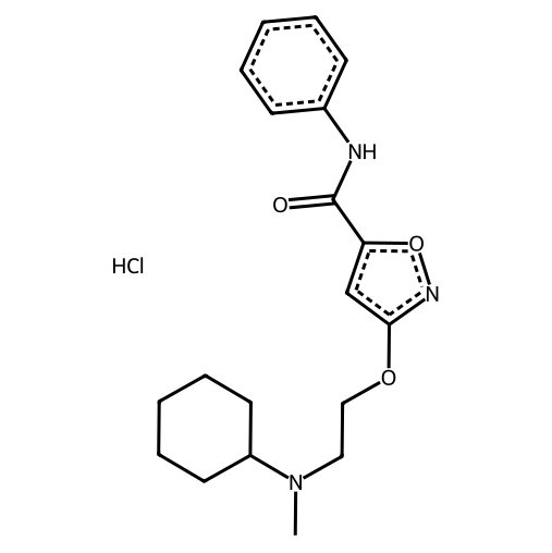 CN(CCOc1cc(C(=O)Nc2ccccc2)on1)C1CCCCC1.Cl